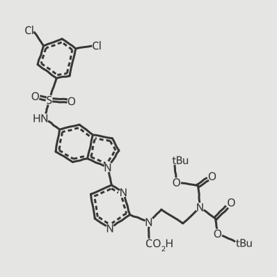 CC(C)(C)OC(=O)N(CCN(C(=O)O)c1nccc(-n2ccc3cc(NS(=O)(=O)c4cc(Cl)cc(Cl)c4)ccc32)n1)C(=O)OC(C)(C)C